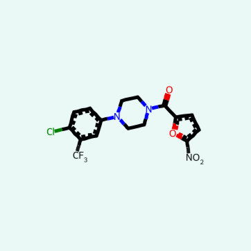 O=C(c1ccc([N+](=O)[O-])o1)N1CCN(c2ccc(Cl)c(C(F)(F)F)c2)CC1